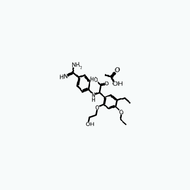 CC(=O)O.CCOc1cc(OCCO)c(C(Nc2ccc(C(=N)N)cc2)C(=O)O)cc1CC